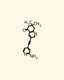 CC1(C)CC(=O)c2cc(C#Cc3ccnc(N)c3)cnc2C1